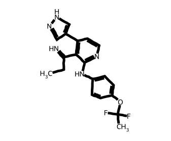 CCC(=N)c1c(-c2cn[nH]c2)ccnc1Nc1ccc(OC(C)(F)F)cc1